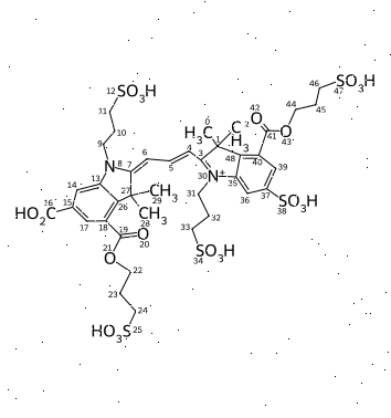 CC1(C)C(/C=C/C=C2/N(CCCS(=O)(=O)O)c3cc(C(=O)O)cc(C(=O)OCCCS(=O)(=O)O)c3C2(C)C)=[N+](CCCS(=O)(=O)O)c2cc(S(=O)(=O)O)cc(C(=O)OCCCS(=O)(=O)O)c21